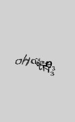 CC(C=O)=Cc1ccc(C(C)(C)CC2CCCCC2)cc1